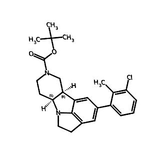 Cc1c(Cl)cccc1-c1cc2c3c(c1)[C@@H]1CN(C(=O)OC(C)(C)C)CC[C@@H]1N3CC2